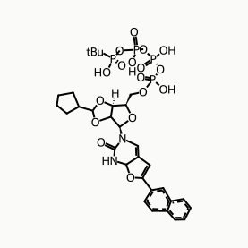 CC(C)(C)P(=O)(O)OP(=O)(O)OP(=O)(O)OP(=O)(O)OC[C@H]1O[C@@H](N2C=C3C=C(c4ccc5ccccc5c4)OC3NC2=O)C2OC(C3CCCC3)O[C@H]21